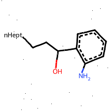 CCCCCCCCCC(O)c1ccccc1N